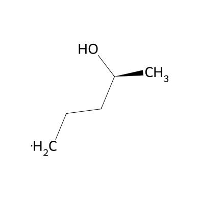 [CH2]CC[C@H](C)O